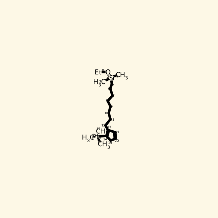 CCO[Si](C)(C)CCCCCCCCC1=[C]([Pt]([CH3])([CH3])[CH3])CC=C1